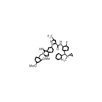 COc1ccc(Cn2ccc3ccc(-n4nc(C(F)(F)F)cc4C(=O)Nc4cc(C(c5ccccc5)N(C)C5CC5)ccc4F)cc3c2=N)c(OC)c1